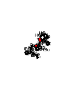 C=C(C)C(=O)NCC(=O)NC(Cc1ccccc1)C(=O)NC(CC(C)C)C(=O)NCC(=O)O[C@@H](C(=O)O[C@H]1C[C@@]2(O)[C@@H](OC(=O)c3ccccc3)[C@@H]3C4COC4C[C@H](O)[C@@]3(C)C(=O)[C@H](O)C(=C1C)C2(C)C)[C@@H](NC(=O)OC(C)(C)C)c1ccccc1